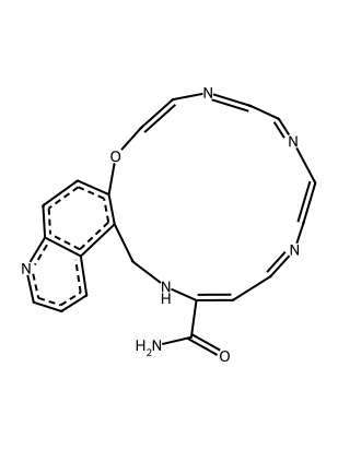 NC(=O)C1=CC=NC=CN=CC=NC=COc2ccc3ncccc3c2CN1